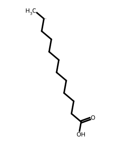 C[CH]CCCCCCCCCC(=O)O